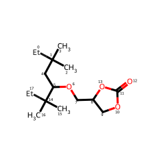 CCC(C)(C)CC(OCC1COC(=O)O1)C(C)(C)CC